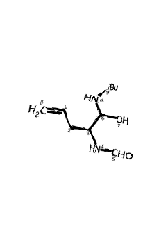 C=CC[C@H](NC=O)C(O)N[C@H](C)CC